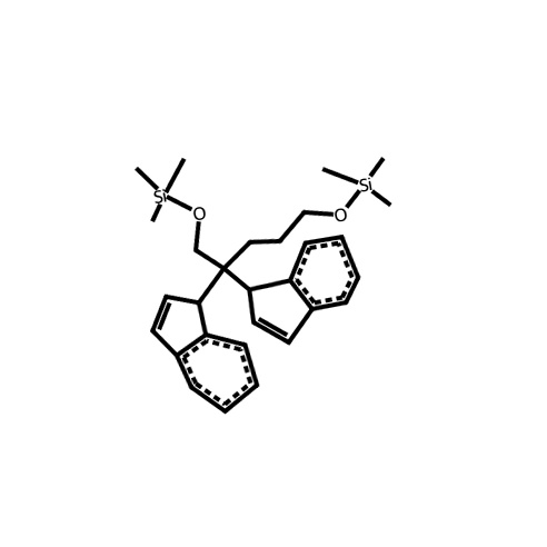 C[Si](C)(C)OCCCC(CO[Si](C)(C)C)(C1C=Cc2ccccc21)C1C=Cc2ccccc21